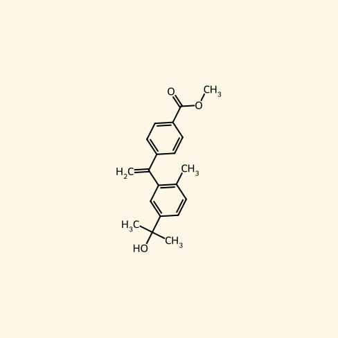 C=C(c1ccc(C(=O)OC)cc1)c1cc(C(C)(C)O)ccc1C